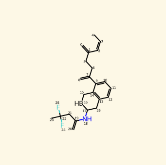 C=C(/C=C\C)CCC(=C)c1cccc2c1CBC(NC(=C)CC(C)(F)F)C2